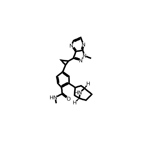 CNC(=O)c1ccc(C2CC2c2nn(C)c3nccnc23)cc1C1C[C@H]2CC[C@@H](C1)N2